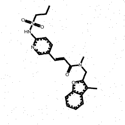 CCCS(=O)(=O)Nc1ccc(/C=C/C(=O)N(C)Cc2oc3ccccc3c2C)cn1